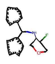 FC1COCC1NC(c1ccccc1)c1ccccc1